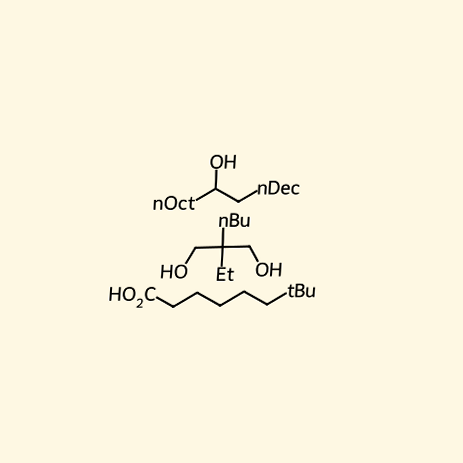 CC(C)(C)CCCCCC(=O)O.CCCCC(CC)(CO)CO.CCCCCCCCCCCC(O)CCCCCCCC